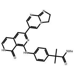 CNC(=O)C(C)(C)c1ccc(Nc2nc(C3=CN4CCN=C4N=C3)cc3cc[nH]c(=O)c23)cc1